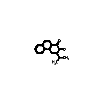 CC(C)C1=Cc2c(ccc3ccccc23)C(=O)C1=O